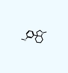 COc1cccc(C23CCCCC2N(C)CC3)c1